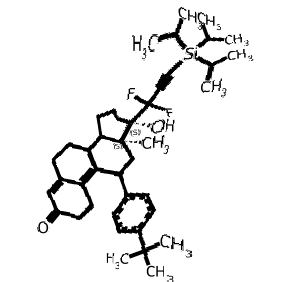 CC(C)[Si](C#CC(F)(F)[C@]1(O)CCC2C3CCC4=CC(=O)CCC4=C3C(c3ccc(C(C)(C)C)cc3)C[C@@]21C)(C(C)C)C(C)C